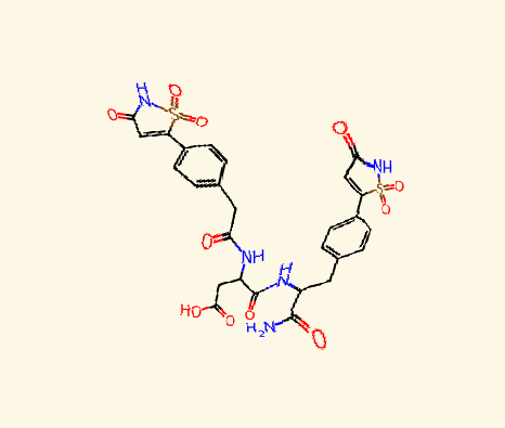 NC(=O)C(Cc1ccc(C2=CC(=O)NS2(=O)=O)cc1)NC(=O)C(CC(=O)O)NC(=O)Cc1ccc(C2=CC(=O)NS2(=O)=O)cc1